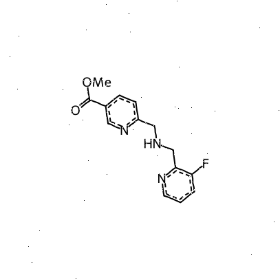 COC(=O)c1ccc(CNCc2ncccc2F)nc1